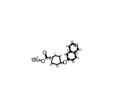 CC(C)(C)OC(=O)N1CCC(Oc2ccc3cnccc3c2)CC1